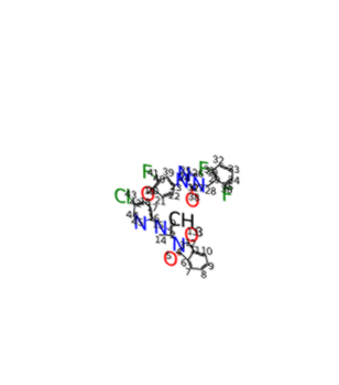 C[C@H]1[C@@H](N2C(=O)c3ccccc3C2=O)CN1c1cc(Oc2ccc(-n3ncn(Cc4c(F)cccc4F)c3=O)cc2F)c(Cl)cn1